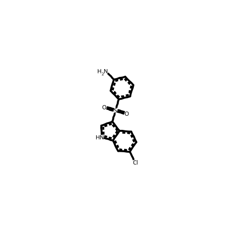 Nc1cccc(S(=O)(=O)c2c[nH]c3cc(Cl)ccc23)c1